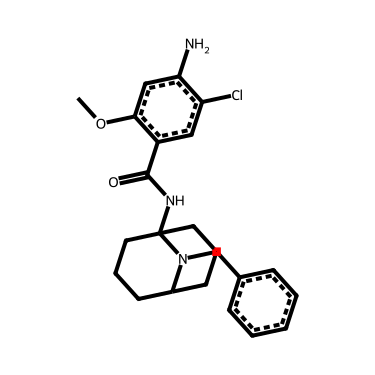 COc1cc(N)c(Cl)cc1C(=O)NC12CCCC(CCC1)N2Cc1ccccc1